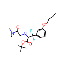 CCCCOc1cccc(C(F)(F)C(NCC(=O)N(C)C)C(=O)OC(C)(C)C)c1